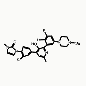 Cc1cc(-c2ccc(-n3ccn(C)c3=O)c(Cl)c2)c(O)c(-c2cc(N3CCN(C(C)(C)C)CC3)cc(F)c2F)n1